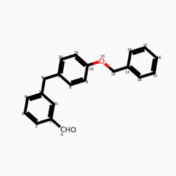 O=Cc1cccc(Cc2ccc(OCc3ccccc3)cc2)c1